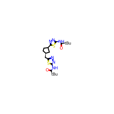 CC(C)(C)C(=O)Nc1nnc(C[C@H]2CCC(c3nnc(NC(=O)C(C)(C)C)s3)C2)s1